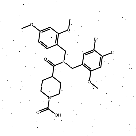 COc1ccc(CN(Cc2cc(Br)c(Cl)cc2OC)C(=O)C2CCN(C(=O)O)CC2)c(OC)c1